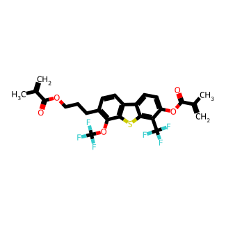 C=C(C)C(=O)OCCCc1ccc2c(sc3c(C(F)(F)F)c(OC(=O)C(=C)C)ccc32)c1OC(F)(F)F